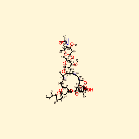 CCC(C)[C@H]1O[C@]2(C=C[C@@H]1C)C[C@@H]1C[C@@H](C/C=C(\C)[C@@H](OC3C[C@H](OC)[C@@H](OC4C[C@H](OC)[C@@](C)(NC(C)=O)[C@H](C)O4)[C@H](C)O3)C(C)/C=C/C=C3\CO[C@@H]4[C@H](O)C(C)=C[C@@H](C(=O)O1)[C@]34O)O2